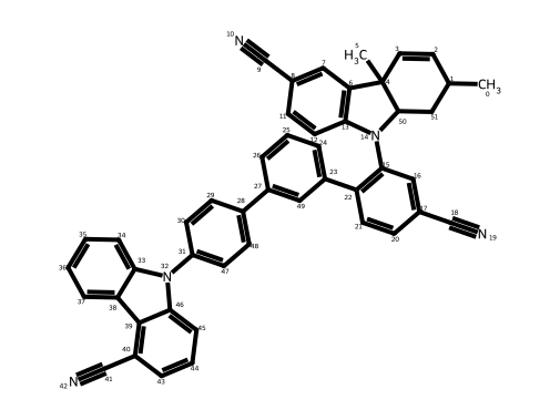 CC1C=CC2(C)c3cc(C#N)ccc3N(c3cc(C#N)ccc3-c3cccc(-c4ccc(-n5c6ccccc6c6c(C#N)cccc65)cc4)c3)C2C1